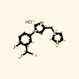 Cl.Fc1ccc(-n2cnc(Cn3ccnc3)c2)cc1C(F)F